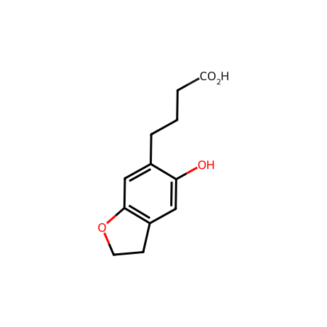 O=C(O)CCCc1cc2c(cc1O)CCO2